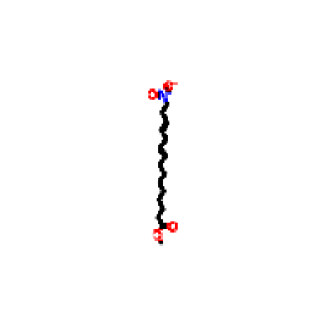 COC(=O)CCCCCCCC=CCC=CCC[N+](=O)[O-]